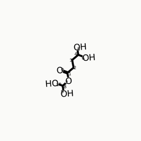 O=C(CCC(O)O)OC(O)O